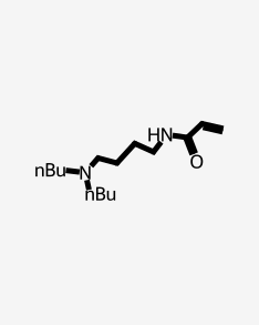 C=CC(=O)NCCCCN(CCCC)CCCC